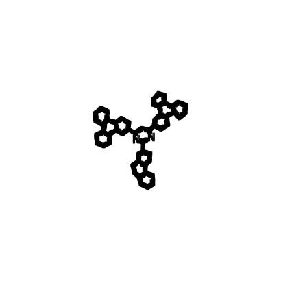 c1ccc2c(c1)ccc1cc(-c3nc(-c4ccc5c6ccccc6c6ccccc6c5c4)cc(-c4ccc5c6ccccc6c6ccccc6c5c4)n3)ccc12